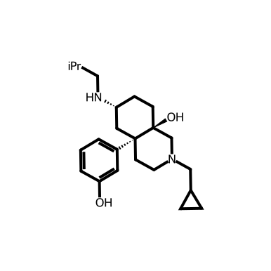 CC(C)CN[C@@H]1CC[C@]2(O)CN(CC3CC3)CC[C@@]2(c2cccc(O)c2)C1